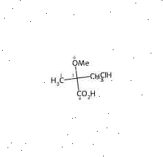 COC(C)(C)C(=O)O.Cl